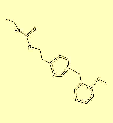 CCNC(=O)OCCc1ccc(Cc2ccccc2OC)cc1